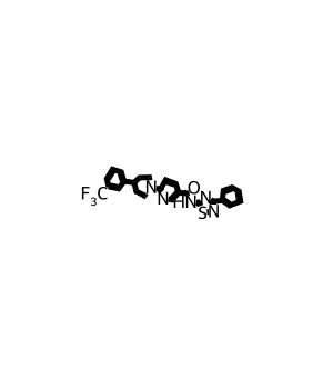 O=C(Nc1nc(-c2ccccc2)ns1)c1ccc(N2CCC(c3cccc(C(F)(F)F)c3)CC2)nc1